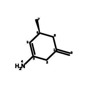 C=C1CC(N)=C[C@@H](C)C1